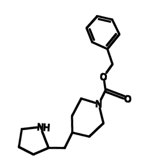 O=C(OCc1ccccc1)N1CCC(CC2CCCN2)CC1